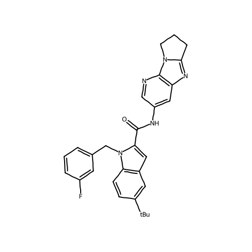 CC(C)(C)c1ccc2c(c1)cc(C(=O)Nc1cnc3c(c1)nc1n3CCC1)n2Cc1cccc(F)c1